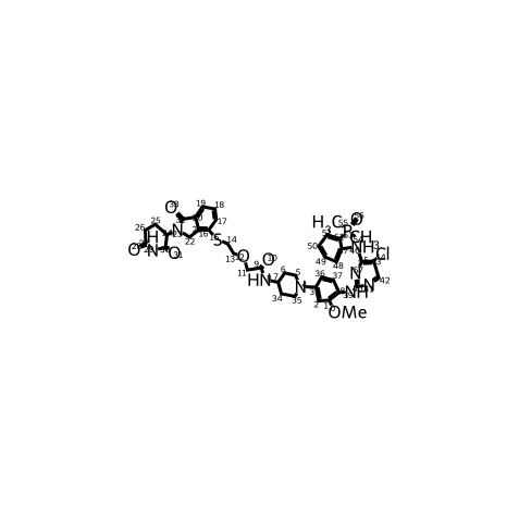 COc1cc(N2CCC(NC(=O)COCCSc3cccc4c3CN(C3CCC(=O)NC3=O)C4=O)CC2)ccc1Nc1ncc(Cl)c(Nc2ccccc2P(C)(C)=O)n1